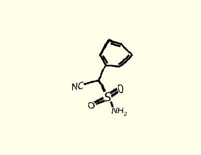 N#CC(c1ccccc1)S(N)(=O)=O